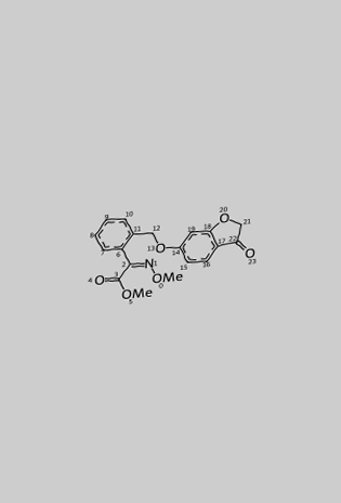 CON=C(C(=O)OC)c1ccccc1COc1ccc2c(c1)OCC2=O